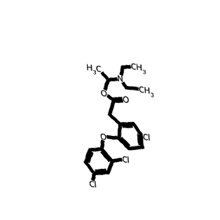 CCN(CC)C(C)OC(=O)Cc1ccccc1Oc1ccc(Cl)cc1Cl.Cl